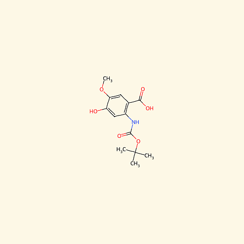 COc1cc(C(=O)O)c(NC(=O)OC(C)(C)C)cc1O